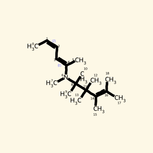 C/C=C\C=C(/C)N(C)C(C)(C)C(C)(C)C(C)=C(C)C